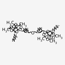 CC(=O)O[C@@H]1[C@H](OC(C)=O)[C@H](OCc2cn(CCOCCn3cc(CO[C@@H]4O[C@H](CN=[N+]=[N-])[C@@H](OC(C)=O)[C@H](OC(C)=O)[C@@H]4OC(C)=O)nn3)nn2)O[C@H](CN=[N+]=[N-])[C@H]1OC(C)=O